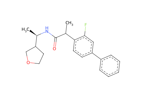 CC(C(=O)N[C@H](C)C1CCOC1)c1ccc(-c2ccccc2)cc1F